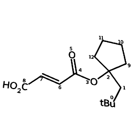 CC(C)(C)CC1(OC(=O)C=CC(=O)O)CCCC1